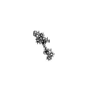 COc1ccc(C(OC[C@H](NC(=O)CCCCCNC(=O)OCC2c3ccccc3-c3ccccc32)[C@H](C)O)(c2ccccc2)c2ccccc2)cc1